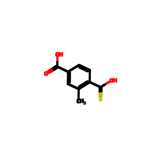 Cc1cc(C(=O)O)ccc1C(O)=S